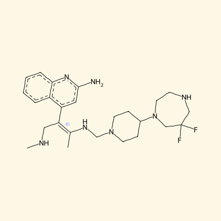 CNC/C(=C(\C)NCN1CCC(N2CCNCC(F)(F)C2)CC1)c1cc(N)nc2ccccc12